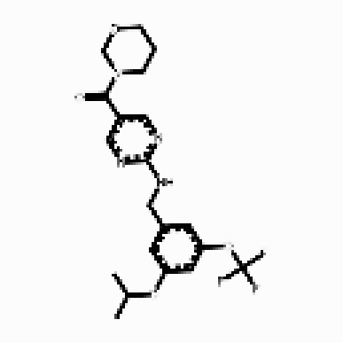 CC(C)Oc1cc(CNc2ncc(C(=O)N3CCCOC3)cn2)cc(OC(F)(F)F)c1